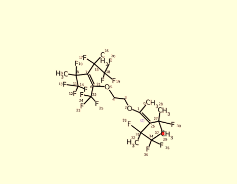 C/C(OCCOC(=C(C(C)(F)C(F)(F)F)C(C)(F)C(F)(F)F)C(F)(F)F)=C(\C(C)(C)F)C(C)(F)C(F)(F)F